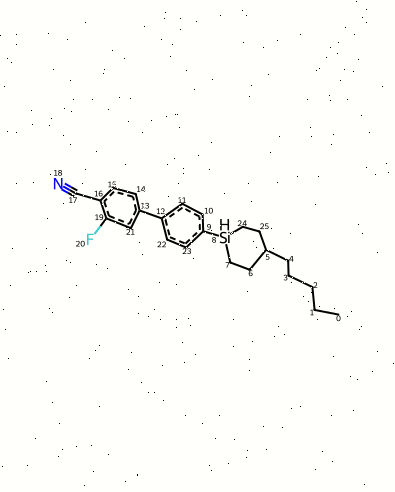 CCCCCC1CC[SiH](c2ccc(-c3ccc(C#N)c(F)c3)cc2)CC1